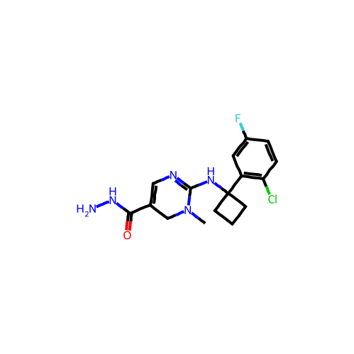 CN1CC(C(=O)NN)=CN=C1NC1(c2cc(F)ccc2Cl)CCC1